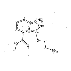 COC(=O)c1cccc2onc(OCCN)c12.Cl